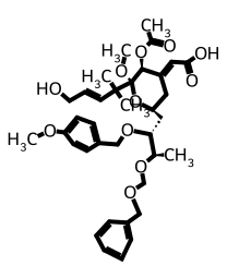 COc1ccc(CO[C@H](C[C@@H]2C/C(=C\C(=O)O)[C@H](OC(C)=O)[C@](OC)(C(C)(C)/C=C/CO)O2)[C@@H](C)OCOCc2ccccc2)cc1